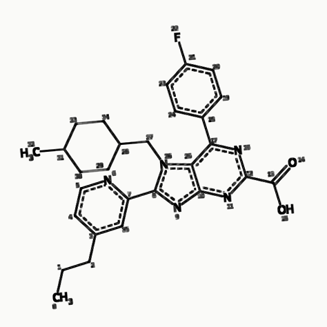 CCCc1ccnc(-c2nc3nc(C(=O)O)nc(-c4ccc(F)cc4)c3n2CC2CCC(C)CC2)c1